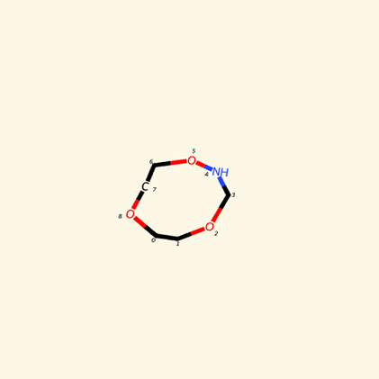 C1COCNOCCO1